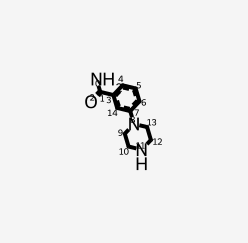 NC(=O)c1cccc(N2CCNCC2)c1